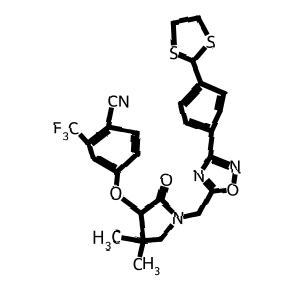 CC1(C)CN(Cc2nc(-c3ccc(C4SCCS4)cc3)no2)C(=O)C1Oc1ccc(C#N)c(C(F)(F)F)c1